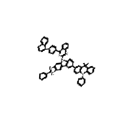 CC1(C)c2ccccc2N(c2ccccc2)c2ccc(-c3ccc4c(c3)c3cc5oc(-c6ccccc6)nc5cc3n4-c3nc(-c4ccc(-c5cccc6ccccc56)cc4)c4ccccc4n3)cc21